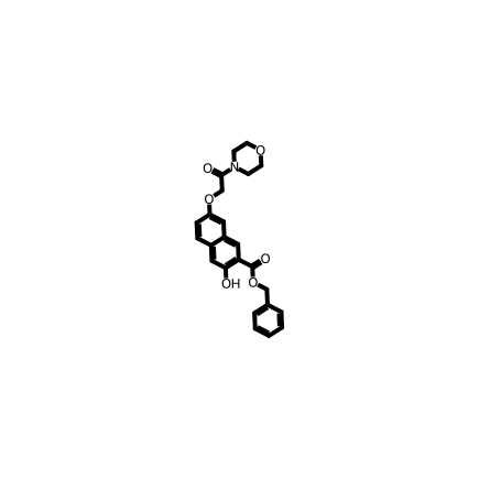 O=C(OCc1ccccc1)c1cc2cc(OCC(=O)N3CCOCC3)ccc2cc1O